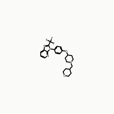 FC(F)(F)c1nc2cccnc2n1-c1ccc(OC2CCN(CC3CCOCC3)CC2)cc1